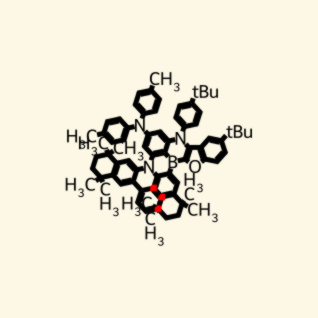 Cc1ccc(N(c2ccc(C)cc2)c2cc3c4c(c2)N(c2ccc(C(C)(C)C)cc2)c2c(oc5ccc(C(C)(C)C)cc25)B4c2cc4c(cc2N3c2cc3c(cc2-c2ccccc2)C(C)(C)CCC3(C)C)C(C)(C)CCC4(C)C)cc1